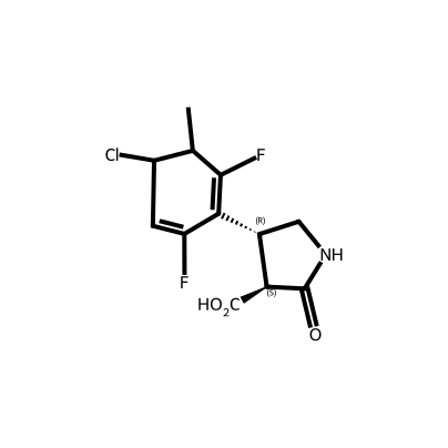 CC1C(F)=C([C@@H]2CNC(=O)[C@H]2C(=O)O)C(F)=CC1Cl